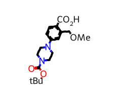 COCc1cc(N2CCN(C(=O)OC(C)(C)C)CC2)ccc1C(=O)O